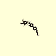 CCC/C=C/C1CCC(c2ccc(C(F)(F)Oc3cc(F)c(C#N)c(F)c3)c(F)c2)CC1